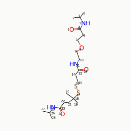 CC(C)NC(=O)CCOCCNC(=O)CCSSC(C)(C)CCC(=O)NC(C)C